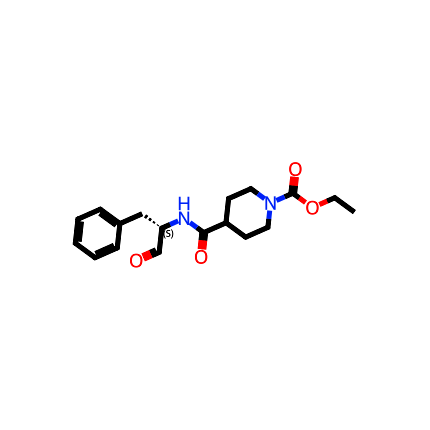 CCOC(=O)N1CCC(C(=O)N[C@H](C=O)Cc2ccccc2)CC1